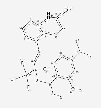 CCC(CC(O)(/C=N/c1cccc2[nH]c(=O)ccc12)C(F)(F)F)c1ccc(C(C)C)cc1OC